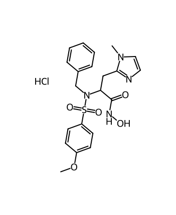 COc1ccc(S(=O)(=O)N(Cc2ccccc2)C(Cc2nccn2C)C(=O)NO)cc1.Cl